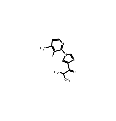 Cc1ccnc(-n2cnc(C(=O)C(C)C)c2)c1F